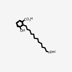 CCCCCCCCCCCCCCCCCCCCCCc1c(O)cccc1C(=O)O